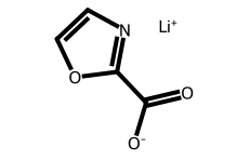 O=C([O-])c1ncco1.[Li+]